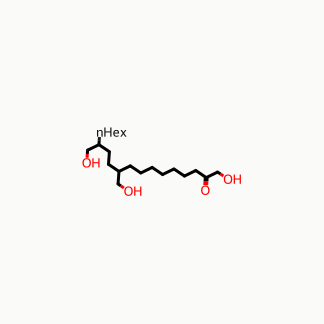 CCCCCCC(CO)CCC(CO)CCCCCCCC(=O)CO